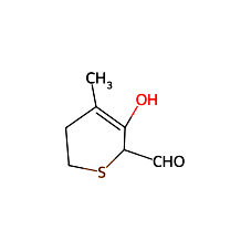 CC1=C(O)C(C=O)SCC1